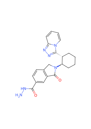 NNC(=O)c1ccc2c(c1)C(=O)N([C@@H]1CCCC[C@H]1c1nnc3ccccn13)C2